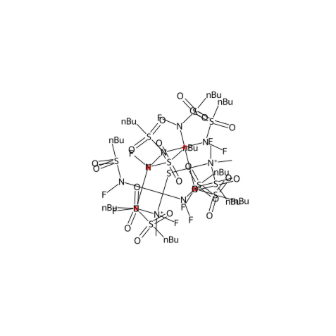 CCCCS(=O)(=O)N(F)C(N(F)S(=O)(=O)CCCC)(N(F)S(=O)(=O)CCCC)C(SC(N(F)S(=O)(=O)CCCC)(C(N(F)S(=O)(=O)CCCC)(N(F)S(=O)(=O)CCCC)N(F)S(=O)(=O)CCCC)[N+](C)(F)S(=O)(=O)CCCC)(N(F)S(=O)(=O)CCCC)[N+](C)(F)S(=O)(=O)CCCC